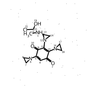 CN.O=C1C=C(N2CC2)C(=O)C(N2CC2)=C1N1CC1.OCCl